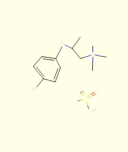 CC(C[N+](C)(C)C)Nc1ccc([N+](=O)[O-])cc1.COS(=O)(=O)[O-]